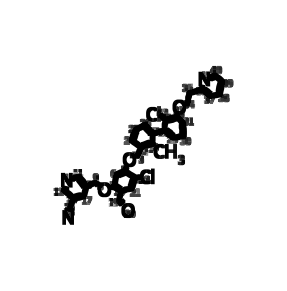 Cc1c(COc2cc(OCc3cncc(C#N)c3)c(C=O)cc2Cl)cccc1-c1cccc(OCCc2ccccn2)c1Cl